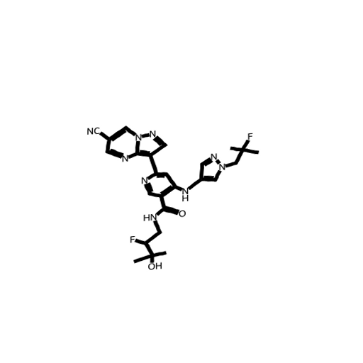 CC(C)(F)Cn1cc(Nc2cc(-c3cnn4cc(C#N)cnc34)ncc2C(=O)NCC(F)C(C)(C)O)cn1